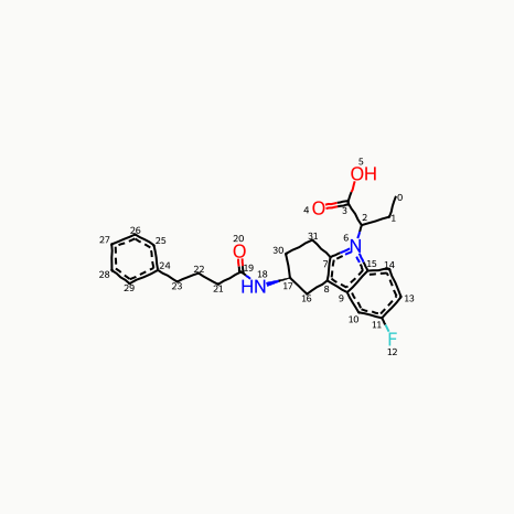 CCC(C(=O)O)n1c2c(c3cc(F)ccc31)C[C@@H](NC(=O)CCCc1ccccc1)CC2